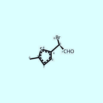 Cc1ccc([C@@H](Br)C=O)s1